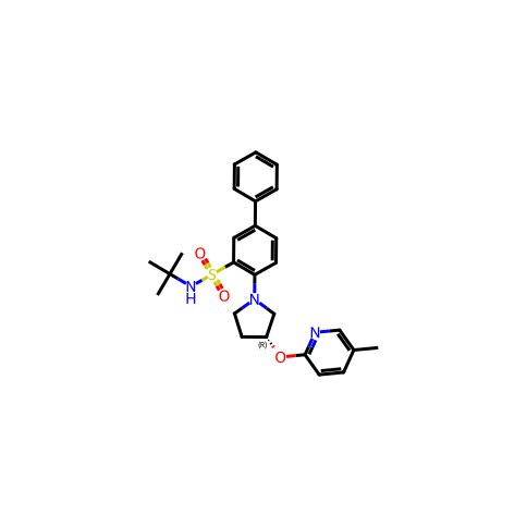 Cc1ccc(O[C@@H]2CCN(c3ccc(-c4ccccc4)cc3S(=O)(=O)NC(C)(C)C)C2)nc1